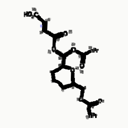 CCCC(=O)OCC1CCCC(C(OC(=O)/C=C/C(=O)O)OC(=O)CCC)O1